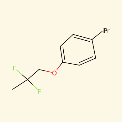 CC(C)c1ccc(OCC(C)(F)F)cc1